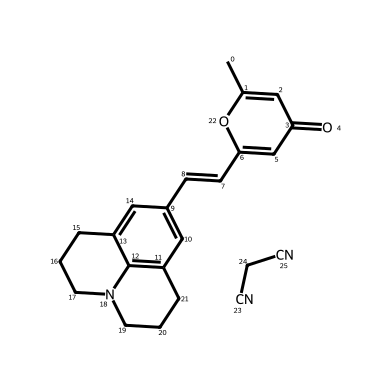 Cc1cc(=O)cc(C=Cc2cc3c4c(c2)CCCN4CCC3)o1.N#CCC#N